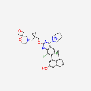 C#Cc1cccc2cc(O)cc(-c3c(F)cc4c(N5CC6CCC(C5)N6)nc(OCC5(CN6CCOC7(COC7)C6)CC5)nc4c3F)c12